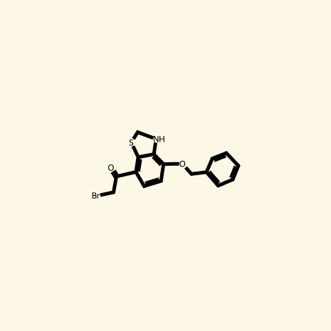 O=C(CBr)c1ccc(OCc2ccccc2)c2c1SCN2